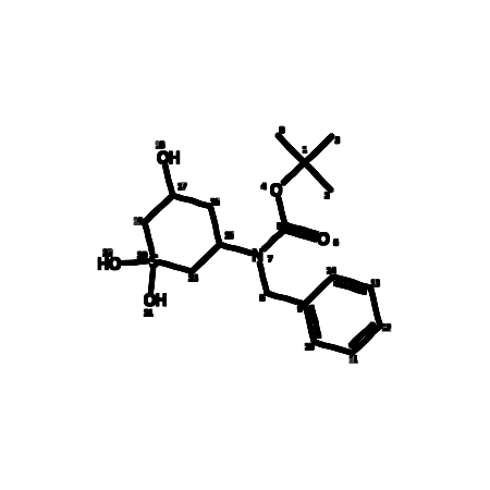 CC(C)(C)OC(=O)N(Cc1ccccc1)C1CC(O)CS(O)(O)C1